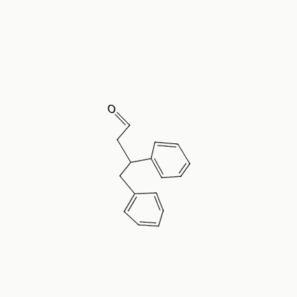 O=CCC(Cc1ccccc1)c1ccccc1